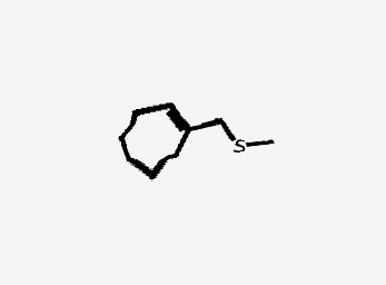 CSCC1=CCCCCC1